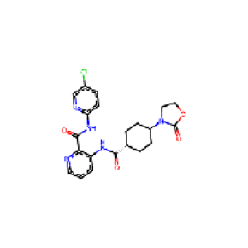 O=C(Nc1ccc(Cl)cn1)c1ncccc1NC(=O)[C@H]1CC[C@H](N2CCOC2=O)CC1